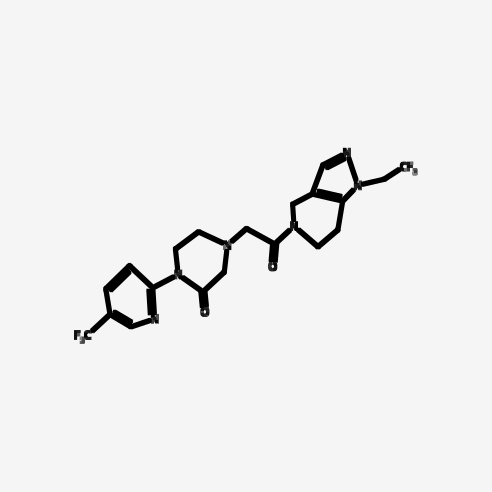 O=C(CN1CCN(c2ccc(C(F)(F)F)cn2)C(=O)C1)N1CCc2c(cnn2CC(F)(F)F)C1